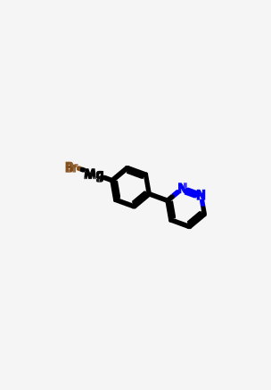 [Br][Mg][c]1ccc(-c2cccnn2)cc1